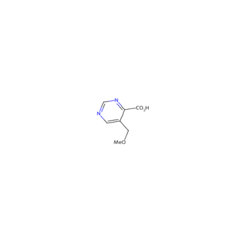 COCc1cncnc1C(=O)O